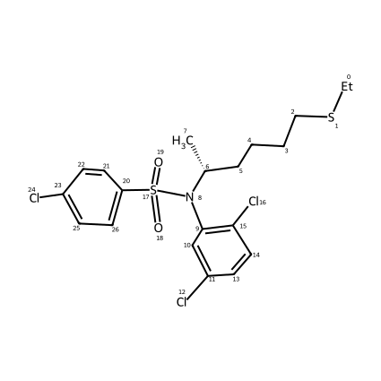 CCSCCCC[C@@H](C)N(c1cc(Cl)ccc1Cl)S(=O)(=O)c1ccc(Cl)cc1